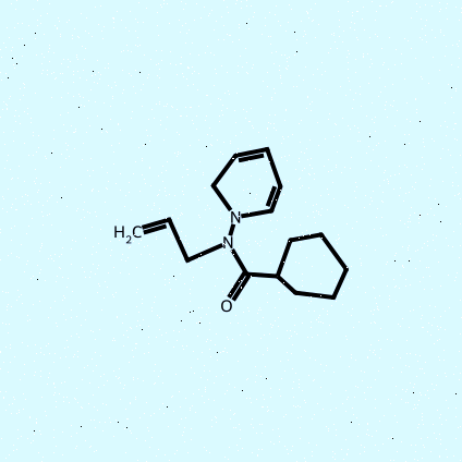 C=CCN(C(=O)C1CCCCC1)N1C=CC=CC1